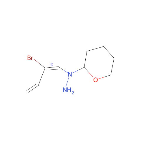 C=C/C(Br)=C\N(N)C1CCCCO1